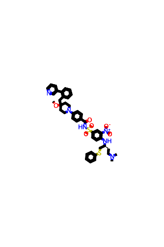 COC1(Cc2ccccc2-c2cccnc2)CCN(c2ccc(C(=O)NS(=O)(=O)c3ccc(N[C@H](CCN(C)C)CSc4ccccc4)c([N+](=O)[O-])c3)cc2)CC1